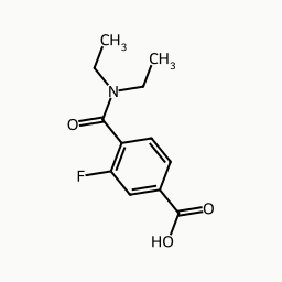 CCN(CC)C(=O)c1ccc(C(=O)O)cc1F